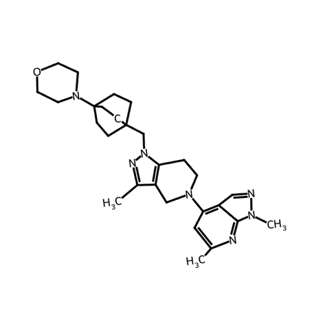 Cc1cc(N2CCc3c(c(C)nn3CC34CCC(N5CCOCC5)(CC3)CC4)C2)c2cnn(C)c2n1